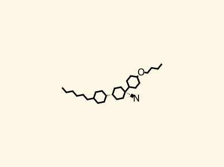 CCCCCCC1CCC([C@H]2CC[C@](C#N)(C3CCC(OCCCC)CC3)CC2)CC1